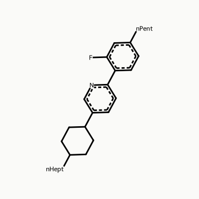 CCCCCCCC1CCC(c2ccc(-c3ccc(CCCCC)cc3F)nc2)CC1